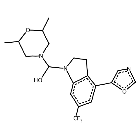 CC1CN(C(O)N2CCc3c(-c4cnco4)cc(C(F)(F)F)cc32)CC(C)O1